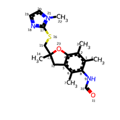 Cc1c(C)c2c(c(C)c1NC=O)CC(C)(CSc1nccn1C)O2